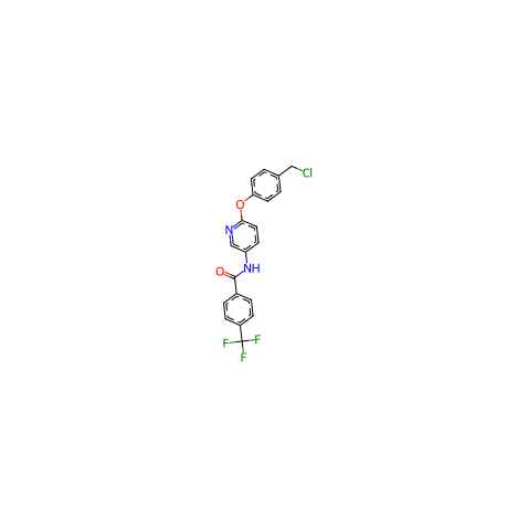 O=C(Nc1ccc(Oc2ccc(CCl)cc2)nc1)c1ccc(C(F)(F)F)cc1